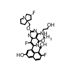 C#Cc1c(F)ccc2cc(O)cc(-c3nc(OC)c4c(NCCO)nc(OC[C@@]56CCCN5C[C@H](F)C6)nc4c3F)c12